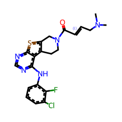 CN(C)C/C=C/C(=O)N1CCc2c(sc3ncnc(Nc4cccc(Cl)c4F)c23)C1